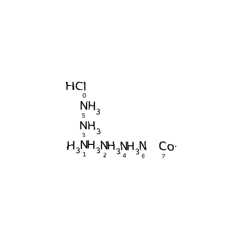 Cl.N.N.N.N.N.N.[Co]